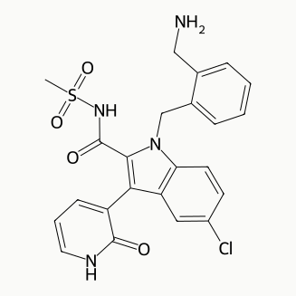 CS(=O)(=O)NC(=O)c1c(-c2ccc[nH]c2=O)c2cc(Cl)ccc2n1Cc1ccccc1CN